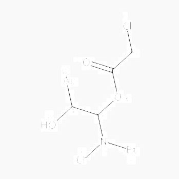 CCN(Cl)C(OC(=O)CCl)C(O)C(C)=O